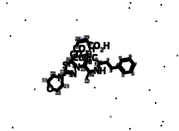 CCOC(=O)[C@H](CCc1ccccc1)N[C@@H](C)C(=O)N1N=C(N2CCOCC2)S[C@H]1C(=O)O.O=C(O)/C=C\C(=O)O